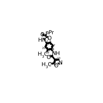 CCCS(=O)(=O)Nc1ccc(NC(=O)c2cnoc2C)c(C)c1